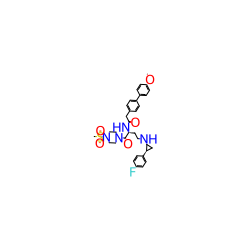 COc1ccc(-c2ccc(CC(=O)N[C@@H](CCN[C@@H]3C[C@H]3c3ccc(F)cc3)C(=O)N3CCN(S(C)(=O)=O)CC3)cc2)cc1